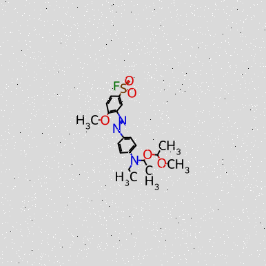 CCN(c1ccc(N=Nc2cc(S(=O)(=O)F)ccc2OC)cc1)C(C)OC(C)OC